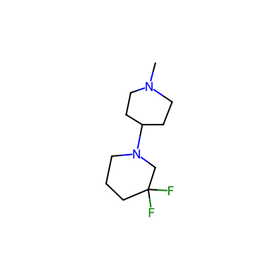 CN1CCC(N2CCCC(F)(F)C2)CC1